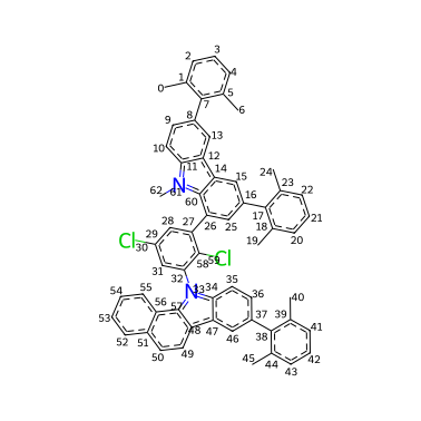 Cc1cccc(C)c1-c1ccc2c(c1)c1cc(-c3c(C)cccc3C)cc(-c3cc(Cl)cc(-n4c5ccc(-c6c(C)cccc6C)cc5c5ccc6ccccc6c54)c3Cl)c1n2C